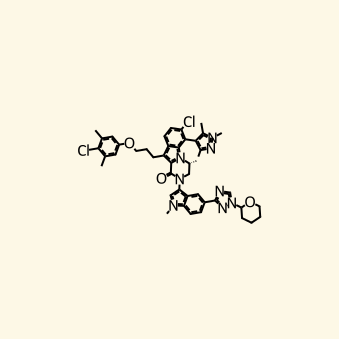 Cc1cc(OCCCc2c3n(c4c(-c5c(C)nn(C)c5C)c(Cl)ccc24)[C@H](C)CN(c2cn(C)c4ccc(-c5ncn(C6CCCCO6)n5)cc24)C3=O)cc(C)c1Cl